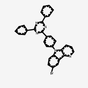 Brc1ccc2c(c1)c1ncccc1n2-c1ccc(-c2nc(-c3ccccc3)nc(-c3ccccc3)n2)cc1